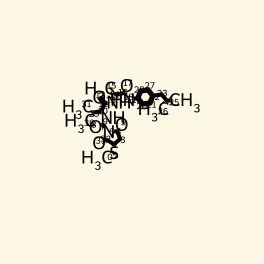 CSC1CC(=O)N(C(=O)NC(C(=O)N[C@@H](C)C(=O)Nc2ccc(CC(C)C)cc2)C(C)C)C1=O